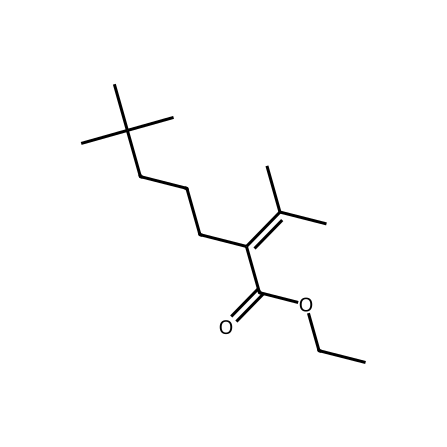 CCOC(=O)C(CCCC(C)(C)C)=C(C)C